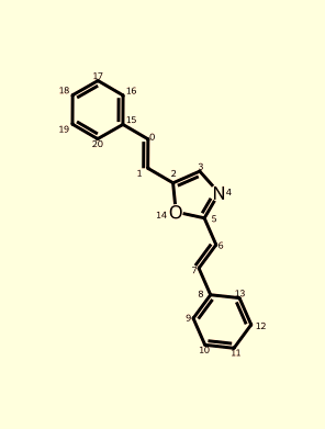 C(=Cc1cnc(C=Cc2ccccc2)o1)c1ccccc1